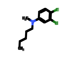 CCCCCN(C)c1ccc(Cl)c(Cl)c1